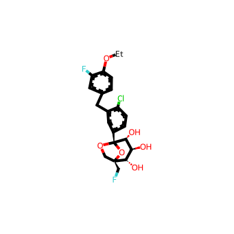 CCOc1ccc(Cc2cc([C@]34OC[C@](CF)(O3)[C@@H](O)[C@H](O)[C@H]4O)ccc2Cl)cc1F